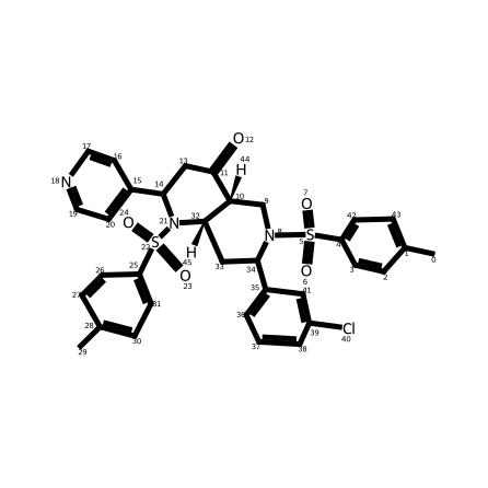 Cc1ccc(S(=O)(=O)N2C[C@H]3C(=O)CC(c4ccncc4)N(S(=O)(=O)c4ccc(C)cc4)[C@H]3CC2c2cccc(Cl)c2)cc1